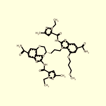 CCn1nc(C)cc1C(=O)Nc1nc2cc(C(N)=O)cc(OCCCOC)c2n1CCC[C@H]1COc2cc(C(N)=O)cc3nc(NC(=O)c4cc(C)nn4CC)n1c23